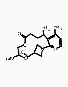 CCCCC(CC)COC(=O)CCC(C)c1c(C)ccnc1N1CC(CC#N)C1